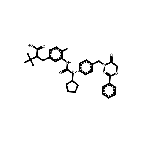 CC(C)(C)C(Cc1ccc(F)c(NC(=O)[C@H](c2ccc(CN3N=C(c4ccccc4)OCC3=O)cc2)C2CCCC2)c1)C(=O)O